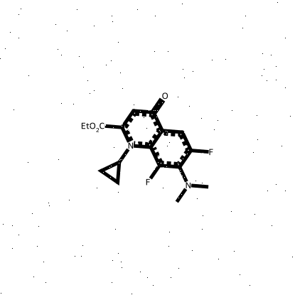 CCOC(=O)c1cc(=O)c2cc(F)c(N(C)C)c(F)c2n1C1CC1